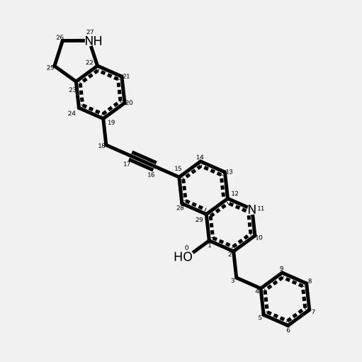 Oc1c(Cc2ccccc2)cnc2ccc(C#CCc3ccc4c(c3)CCN4)cc12